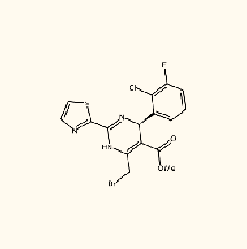 COC(=O)C1=C(CBr)NC(c2nccs2)=N[C@H]1c1cccc(F)c1Cl